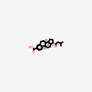 CC(C)CC(=O)[C@H]1CC[C@H]2[C@@H]3CCc4cc(C(=O)O)ccc4[C@H]3CC[C@]12C